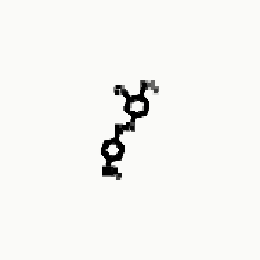 Nc1ccc(N=Nc2ccc([N+](=O)[O-])cc2)cc1Cl